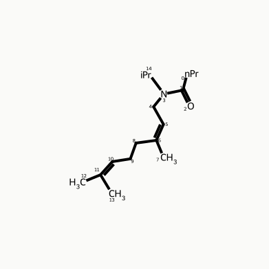 CCCC(=O)N(C/C=C(/C)CCC=C(C)C)C(C)C